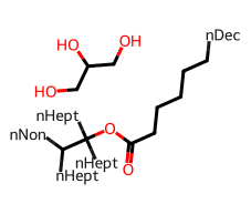 CCCCCCCCCCCCCCCC(=O)OC(CCCCCCC)(CCCCCCC)C(CCCCCCC)CCCCCCCCC.OCC(O)CO